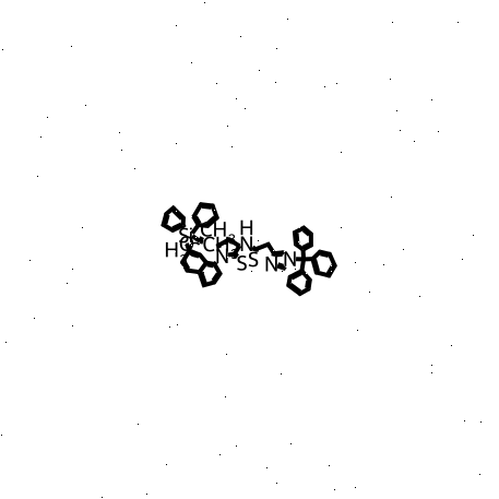 CC(C)(C)[Si](Oc1ccc2cccc(N3CCC(NC(=S)Cc4cn(C(c5ccccc5)(c5ccccc5)c5ccccc5)cn4)C3=S)c2c1)(c1ccccc1)c1ccccc1